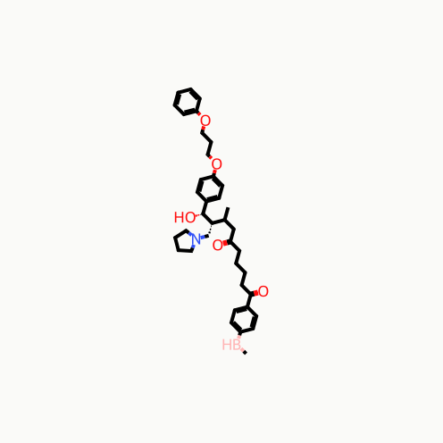 CBc1ccc(C(=O)CCCCC(=O)CC(C)[C@H](CN2CCCC2)[C@H](O)c2ccc(OCCCOc3ccccc3)cc2)cc1